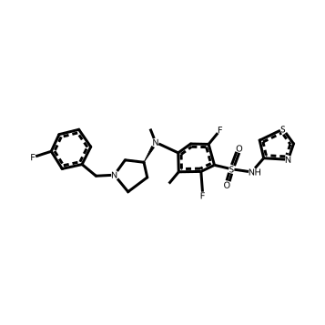 Cc1c(N(C)[C@H]2CCN(Cc3cccc(F)c3)C2)cc(F)c(S(=O)(=O)Nc2cscn2)c1F